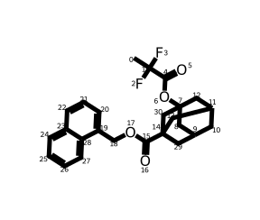 CC(F)(F)C(=O)OC12CC3CC(C1)CC(C(=O)OCc1cccc4ccccc14)(C3)C2